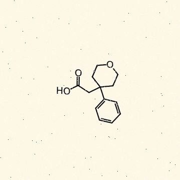 O=C(O)CC1(c2ccccc2)CCOCC1